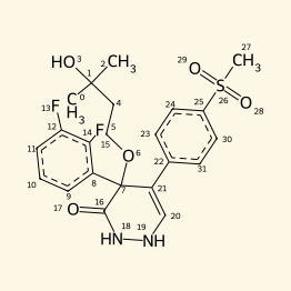 CC(C)(O)CCOC1(c2cccc(F)c2F)C(=O)NNC=C1c1ccc(S(C)(=O)=O)cc1